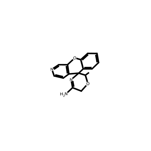 CC1OCC(N)=NC12c1ccccc1Oc1cnccc12